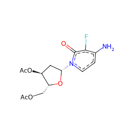 CC(=O)OC[C@H]1O[C@@H](n2ccc(N)c(F)c2=O)C[C@@H]1OC(C)=O